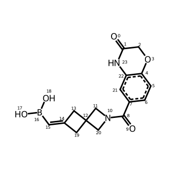 O=C1COc2ccc(C(=O)N3CC4(CC(=CB(O)O)C4)C3)cc2N1